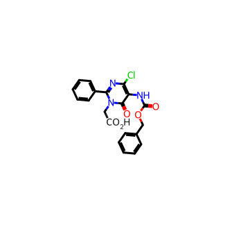 O=C(O)Cn1c(-c2ccccc2)nc(Cl)c(NC(=O)OCc2ccccc2)c1=O